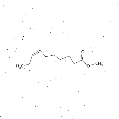 CC/C=C\CCCCCC(=O)OC